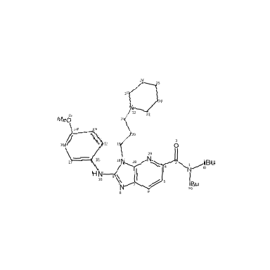 CCC(C)N(C(=O)c1ccc2nc(Nc3ccc(OC)cc3)n(CCCN3CCCCC3)c2n1)C(C)CC